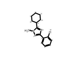 Cn1nc(-c2ccccc2Cl)nc1C1CCCCC1